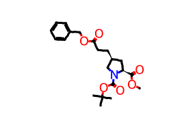 COC(=O)[C@@H]1C[C@H](CCC(=O)OCc2ccccc2)CN1C(=O)OC(C)(C)C